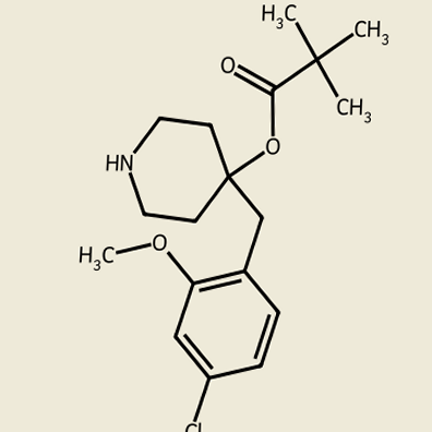 COc1cc(Cl)ccc1CC1(OC(=O)C(C)(C)C)CCNCC1